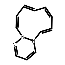 C1=CN2/C=C/C=C\C=C\C=C/N2N=C1